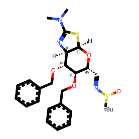 CN(C)C1=N[C@@H]2[C@@H](OCc3ccccc3)[C@H](OCc3ccccc3)[C@@H](C=N[S+]([O-])C(C)(C)C)O[C@@H]2S1